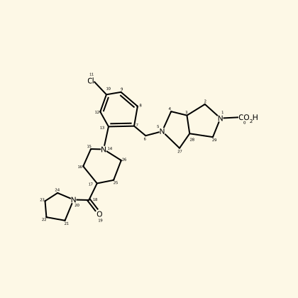 O=C(O)N1CC2CN(Cc3ccc(Cl)cc3N3CCC(C(=O)N4CCCC4)CC3)CC2C1